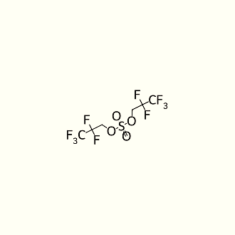 O=S(=O)(OCC(F)(F)C(F)(F)F)OCC(F)(F)C(F)(F)F